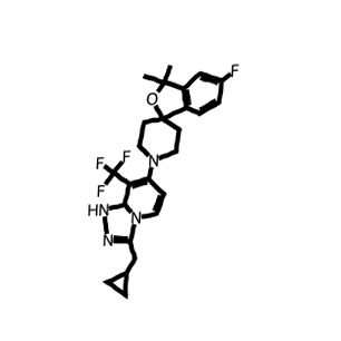 CC1(C)OC2(CCN(C3=C(C(F)(F)F)C4NN=C(CC5CC5)N4C=C3)CC2)c2ccc(F)cc21